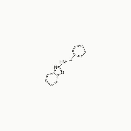 [CH](Nc1nc2ccccc2o1)c1ccccc1